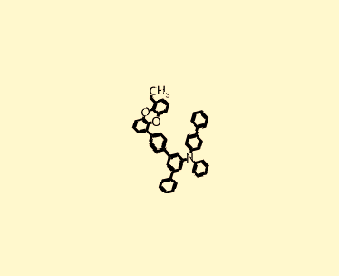 CCc1cccc2c1Oc1cccc(-c3ccc(-c4cc(-c5ccccc5)cc(N(c5ccccc5)c5ccc(-c6ccccc6)cc5)c4)cc3)c1O2